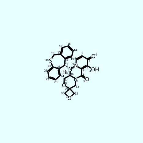 O=C1c2c(O)c(=O)ccn2N([C@H]2c3ccccc3CSc3ccccc32)[C@@H]2COC3(COC3)CN12